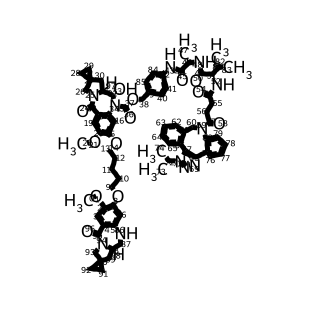 COc1cc2c(cc1OCCCCCOc1cc3c(cc1OC)C(=O)N1CC4(CC4)C[C@H]1C(O)N3C(=O)OCc1ccc(NC(=O)[C@H](C)NC(=O)[C@@H](NC(=O)CCC(=O)N3Cc4ccccc4-c4c(nnn4C(C)C)-c4ccccc43)C(C)C)cc1)NC[C@@H]1CC3(CC3)CN1C2=O